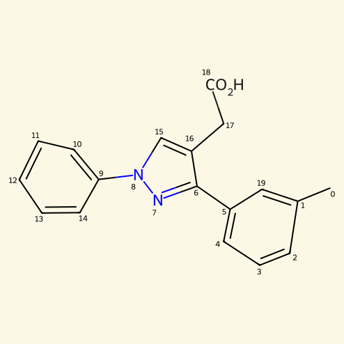 Cc1cccc(-c2nn(-c3ccccc3)cc2CC(=O)O)c1